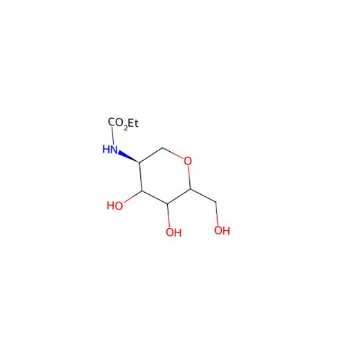 CCOC(=O)N[C@H]1COC(CO)C(O)C1O